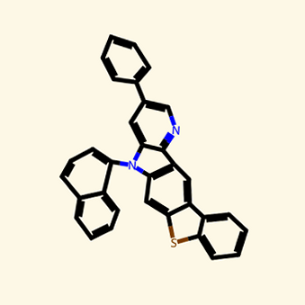 c1ccc(-c2cnc3c4cc5c(cc4n(-c4cccc6ccccc46)c3c2)sc2ccccc25)cc1